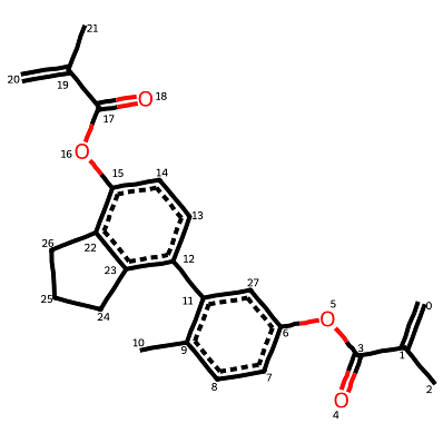 C=C(C)C(=O)Oc1ccc(C)c(-c2ccc(OC(=O)C(=C)C)c3c2CCC3)c1